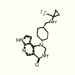 O=C1NCN([C@H]2CC[C@H](CNC3(C(F)(F)F)CC3)CC2)c2c1cnc1[nH]ccc21